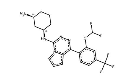 N[C@H]1CCC[C@@H](Nc2nnc(-c3ccc(C(F)(F)F)cc3OC(F)F)c3cccn23)C1